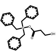 O=C(CCO)O[Si](Cc1ccccc1)(Cc1ccccc1)Cc1ccccc1